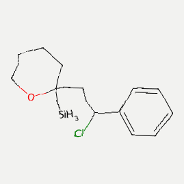 [SiH3]C1(CC(Cl)c2ccccc2)CCCCO1